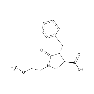 COCCN1C[C@H](C(=O)O)[C@@H](Cc2ccccc2)C1=O